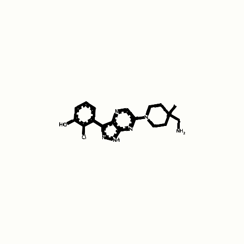 CC1(CN)CCN(c2cnc3c(-c4cccc(O)c4Cl)n[nH]c3n2)CC1